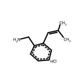 CC(C)=Cc1ccccc1CN.Cl